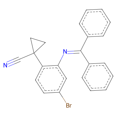 N#CC1(c2ccc(Br)cc2N=C(c2ccccc2)c2ccccc2)CC1